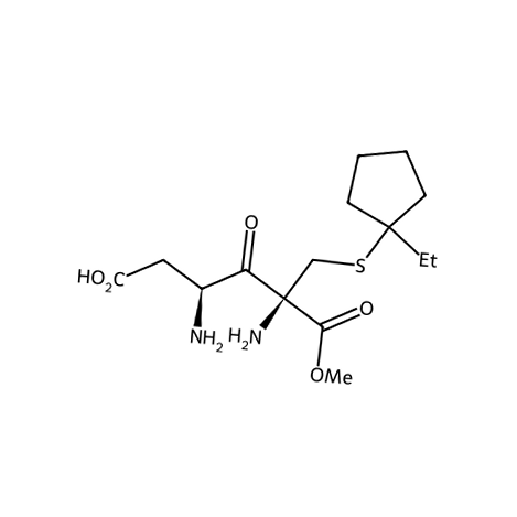 CCC1(SC[C@](N)(C(=O)OC)C(=O)[C@@H](N)CC(=O)O)CCCC1